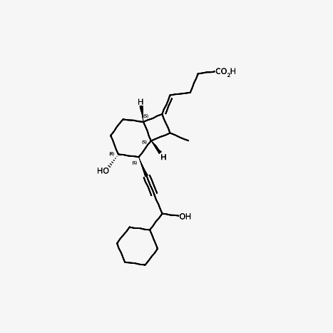 CC1C(=CCCC(=O)O)[C@H]2CC[C@@H](O)[C@H](C#CC(O)C3CCCCC3)[C@@H]12